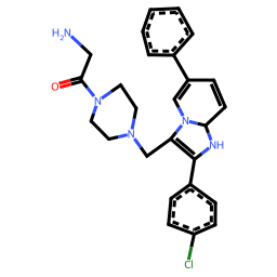 NCC(=O)N1CCN(CC2=C(c3ccc(Cl)cc3)NC3C=CC(c4ccccc4)=CN23)CC1